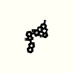 O=C(N[C@@H](Cc1cc(F)cc(F)c1)C(=O)Nc1ncc[nH]1)c1cccc2[nH]c(-c3cc4ccccc4cn3)nc12